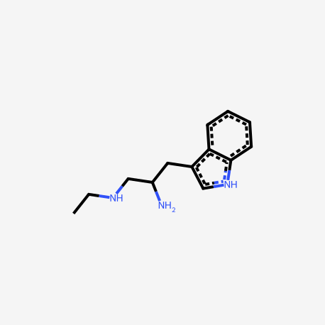 CCNCC(N)Cc1c[nH]c2ccccc12